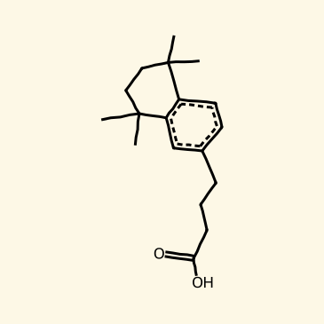 CC1(C)CCC(C)(C)c2cc(CCCC(=O)O)ccc21